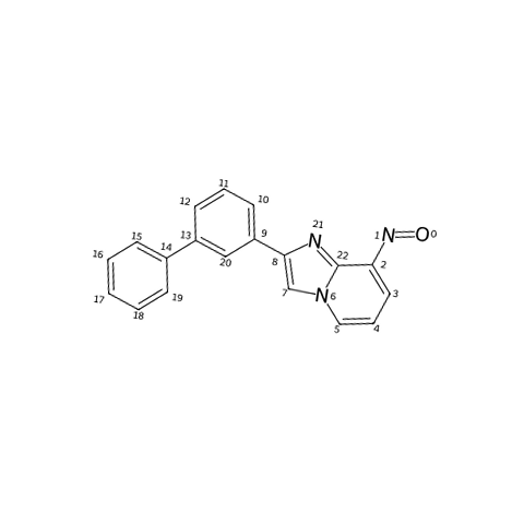 O=Nc1cccn2cc(-c3cccc(-c4ccccc4)c3)nc12